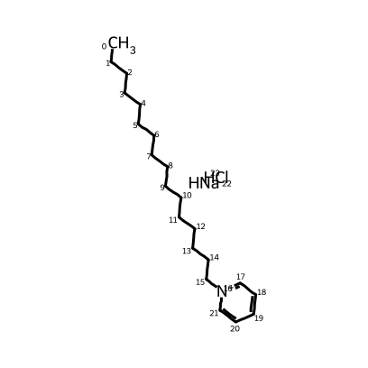 CCCCCCCCCCCCCCCC[n+]1ccccc1.Cl.[NaH]